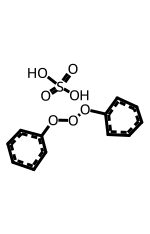 O=S(=O)(O)O.c1ccc(OOOc2ccccc2)cc1